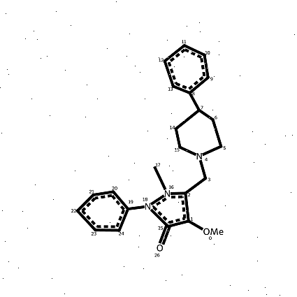 COc1c(CN2CCC(c3ccccc3)CC2)n(C)n(-c2ccccc2)c1=O